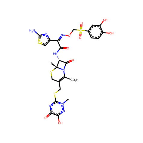 Cn1nc(O)c(=O)nc1SCC1=C(C(=O)O)N2C(=O)[C@@H](NC(=O)/C(=N\OCS(=O)(=O)c3ccc(O)c(O)c3)c3csc(N)n3)[C@H]2SC1